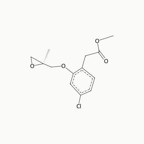 COC(=O)Cc1ccc(Cl)cc1OC[C@]1(C)CO1